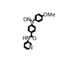 COc1ccc(N(N=O)c2ccc(C(=O)Nc3cccnc3)cc2)cc1